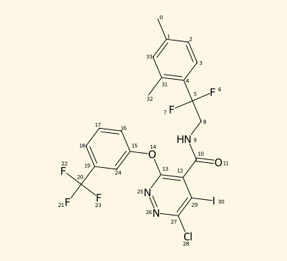 Cc1ccc(C(F)(F)CNC(=O)c2c(Oc3cccc(C(F)(F)F)c3)nnc(Cl)c2I)c(C)c1